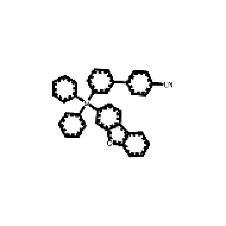 N#Cc1ccc(-c2cccc([Si](c3ccccc3)(c3ccccc3)c3ccc4c(c3)oc3ccccc34)c2)cc1